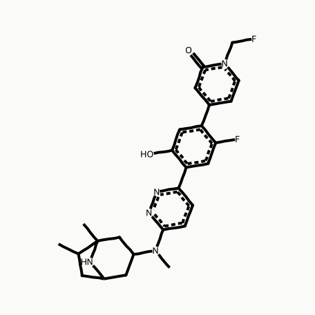 CC1CC2CC(N(C)c3ccc(-c4cc(F)c(-c5ccn(CF)c(=O)c5)cc4O)nn3)CC1(C)N2